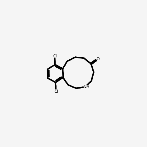 O=C1CCCc2c(Cl)ccc(Cl)c2CCNCC1